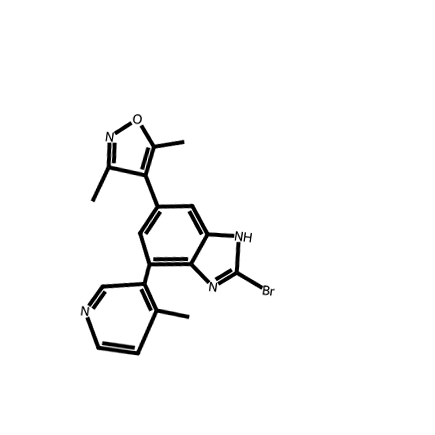 Cc1ccncc1-c1cc(-c2c(C)noc2C)cc2[nH]c(Br)nc12